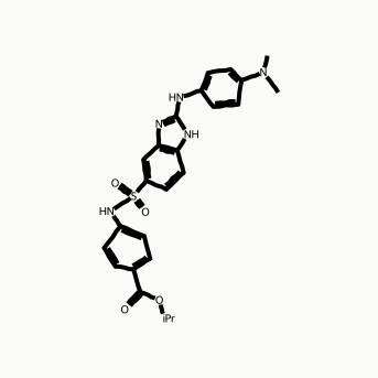 CC(C)OC(=O)c1ccc(NS(=O)(=O)c2ccc3[nH]c(Nc4ccc(N(C)C)cc4)nc3c2)cc1